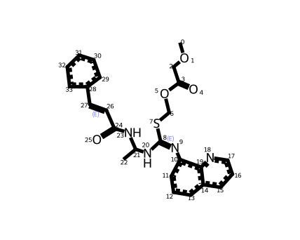 COCC(=O)OCS/C(=N/c1cccc2cccnc12)NC(C)NC(=O)/C=C/c1ccccc1